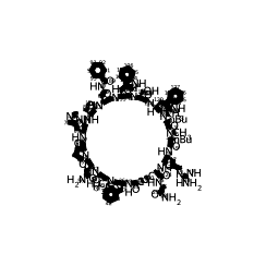 CCCC[C@H]1C(=O)N(C)[C@@H](CCCC)C(=O)N[C@@H](CCCNC(=N)N)C(=O)NC(C(=O)NCC(N)=O)CSCC(=O)N[C@@H](Cc2ccccc2)C(=O)N(C)[C@@H](C)C(=O)N[C@@H](CC(N)=O)C(=O)N2CCC[C@H]2C(=O)N[C@@H](Cc2cnc[nH]2)C(=O)N[C@@H](CC(C)C)C(=O)N[C@@H](CCNC(=O)C2CCCCC2)C(=O)N[C@@H](Cc2c[nH]c3ccccc23)C(=O)N[C@@H](CO)C(=O)N[C@@H](Cc2c[nH]c3ccccc23)C(=O)N1C